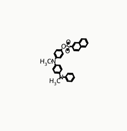 CN(c1ccccc1)c1ccc(N(C)c2ccc(OS(=O)(=O)c3ccc4ccccc4c3)cc2)cc1